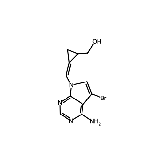 Nc1ncnc2c1c(Br)cn2C=C1CC1CO